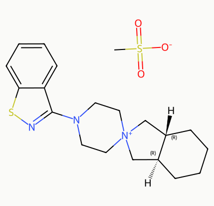 CS(=O)(=O)[O-].c1ccc2c(N3CC[N+]4(CC3)C[C@@H]3CCCC[C@H]3C4)nsc2c1